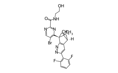 CC1(C)[C@H]2CC[C@@]1(c1nc(C(=O)NCCO)ncc1Br)c1nnc(-c3c(F)cccc3F)cc12